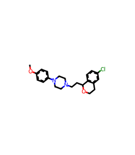 COc1ccc(N2CCN(CCC3OCCc4cc(Cl)ccc43)CC2)cc1